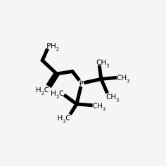 C=C(CP)CP(C(C)(C)C)C(C)(C)C